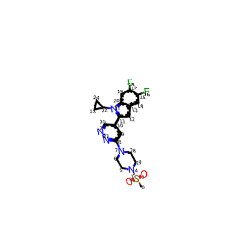 CS(=O)(=O)N1CCN(c2cc(-c3cc4cc(F)c(F)cc4n3C3CC3)cnn2)CC1